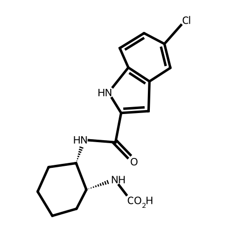 O=C(O)N[C@@H]1CCCC[C@@H]1NC(=O)c1cc2cc(Cl)ccc2[nH]1